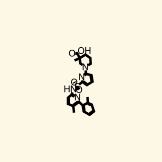 Cc1ccccc1-c1nc(NS(=O)(=O)c2cccc(N3CCCC(C)(C(=O)O)C3)n2)ccc1C